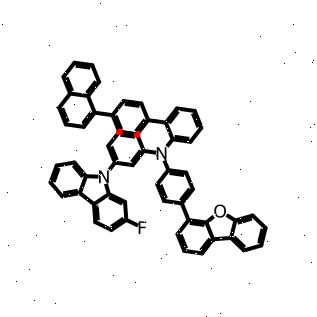 Fc1ccc2c3ccccc3n(-c3cccc(N(c4ccc(-c5cccc6c5oc5ccccc56)cc4)c4ccccc4-c4ccc(-c5cccc6ccccc56)cc4)c3)c2c1